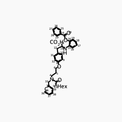 CCCCCCC(=O)N(CCCOc1ccc(CC(Nc2ccccc2OC(=O)c2ccccc2)C(=O)O)cc1)Cc1ccccc1